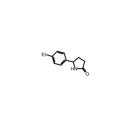 CCc1ccc(C2CCC(=O)N2)cc1